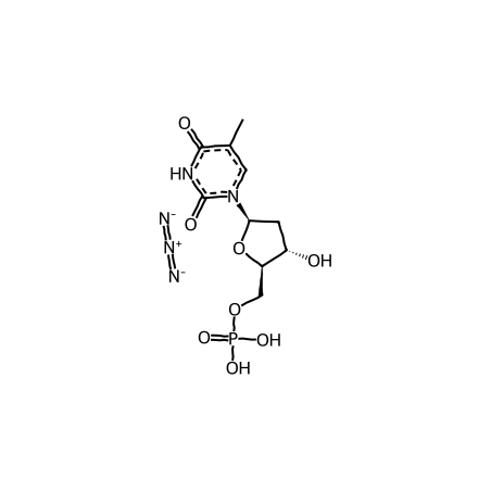 Cc1cn([C@H]2C[C@H](O)[C@@H](COP(=O)(O)O)O2)c(=O)[nH]c1=O.[N-]=[N+]=[N-]